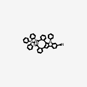 N#Cc1ccc2c3cc4cc(c5ccccc5c5nc([Si](c6ccccc6)(c6ccccc6)c6ccccc6)nc(n5)c5ccccc45)c3n(-c3ccccc3)c2c1